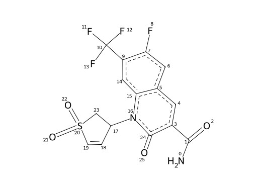 NC(=O)c1cc2cc(F)c(C(F)(F)F)cc2n(C2C=CS(=O)(=O)C2)c1=O